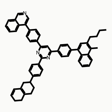 CCCCc1cc(-c2ccc(-c3cc(-c4ccc(-c5cncc6ccccc56)cc4)nc(-c4ccc(C5CCC6=C(C=CCC6)C5)cc4)n3)cc2)c2ccccc2c1C